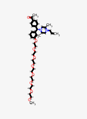 C=CCN1C[C@H](C)N([C@H](c2ccc(C(C)=O)cc2)c2cccc(OCCOCCOCCOCCOCCOCCOCCOC)c2)C[C@H]1C